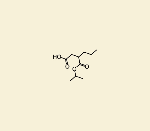 CCCC(CC(=O)O)C(=O)OC(C)C